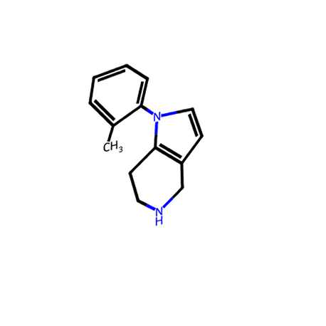 Cc1ccccc1-n1ccc2c1CCNC2